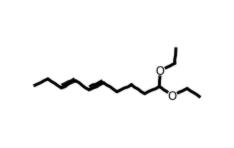 CCC=CC=CCCCC(OCC)OCC